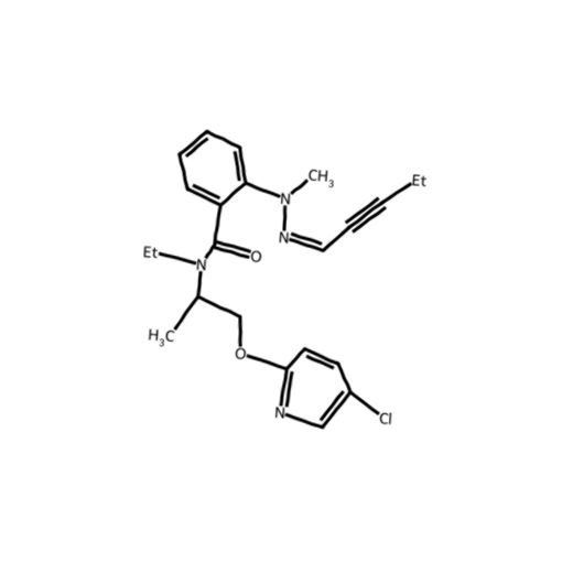 CCC#C/C=N\N(C)c1ccccc1C(=O)N(CC)C(C)COc1ccc(Cl)cn1